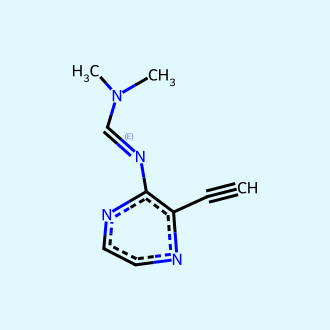 C#Cc1nccnc1/N=C/N(C)C